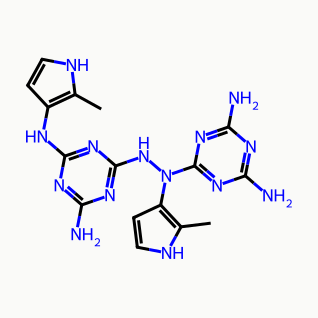 Cc1[nH]ccc1Nc1nc(N)nc(NN(c2nc(N)nc(N)n2)c2cc[nH]c2C)n1